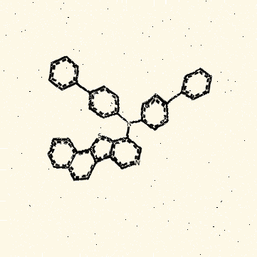 c1ccc(-c2ccc(N(c3ccc(-c4ccccc4)cc3)c3cncc4c3sc3c5ccccc5ccc43)cc2)cc1